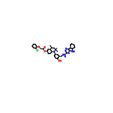 CC1=CC(C)(C)N(c2ccc(O)c(/C=N/Nc3nnc4c(n3)[nH]c3ccccc34)c2)c2ccc(OC(=O)COc3ccccc3Cl)cc21